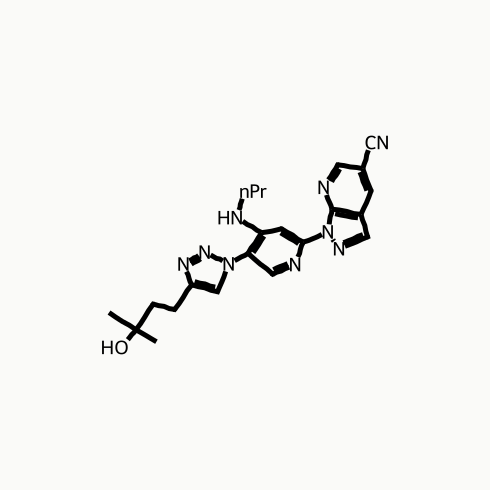 CCCNc1cc(-n2ncc3cc(C#N)cnc32)ncc1-n1cc(CCC(C)(C)O)nn1